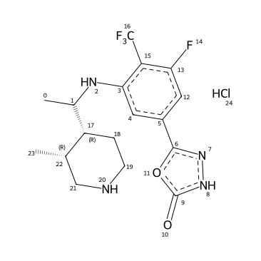 CC(Nc1cc(-c2n[nH]c(=O)o2)cc(F)c1C(F)(F)F)[C@@H]1CCNC[C@@H]1C.Cl